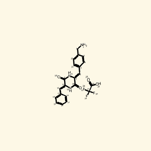 NCc1ccc(/C=c2\[nH]c(=O)/c(=C/c3ccccc3)[nH]c2=O)cc1.O=C(O)C(F)(F)F